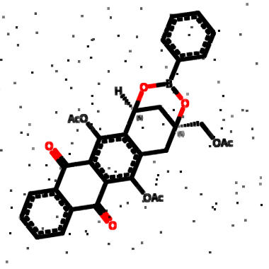 CC(=O)OC[C@]12Cc3c(OC(C)=O)c4c(c(OC(C)=O)c3[C@H](C1)OB(c1ccccc1)O2)C(=O)c1ccccc1C4=O